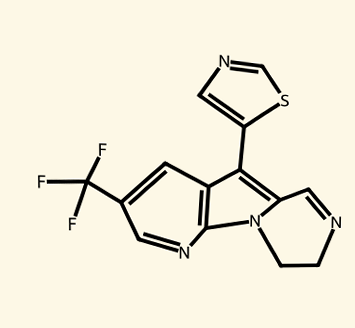 FC(F)(F)c1cnc2c(c1)c(-c1cncs1)c1n2CCN=C1